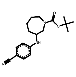 CC(C)(C)OC(=O)N1CCCCC(Nc2ccc(C#N)cc2)C1